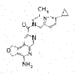 CCCN(Cc1ccc(C2CC2)cn1)C(=O)c1cc2c3c(c(N)nc2cn1)COC3